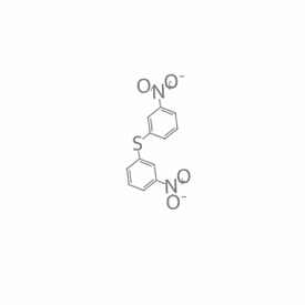 O=[N+]([O-])c1cccc(Sc2cccc([N+](=O)[O-])c2)c1